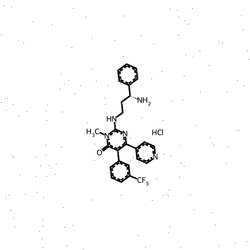 Cl.Cn1c(NCC[C@@H](N)c2ccccc2)nc(-c2ccncc2)c(-c2cccc(C(F)(F)F)c2)c1=O